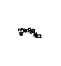 CCCN(CCc1cccs1)[C@H]1CCc2c(cccc2OC(=O)CCn2cc(CC)nn2)C1